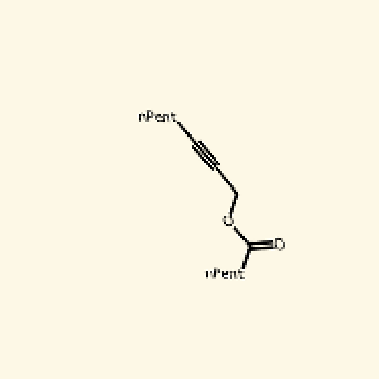 CCCCCC#CCOC(=O)CCCCC